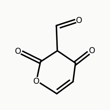 O=CC1C(=O)C=COC1=O